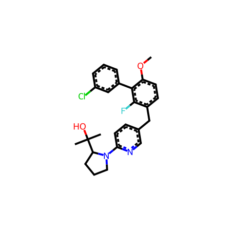 COc1ccc(Cc2ccc(N3CCCC3C(C)(C)O)nc2)c(F)c1-c1cccc(Cl)c1